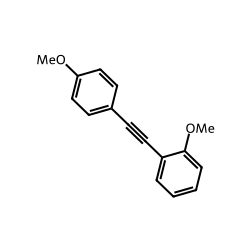 COc1ccc(C#Cc2ccccc2OC)cc1